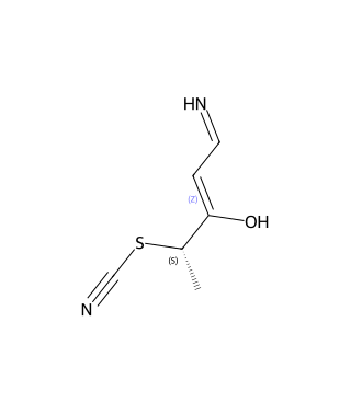 C[C@H](SC#N)/C(O)=C/C=N